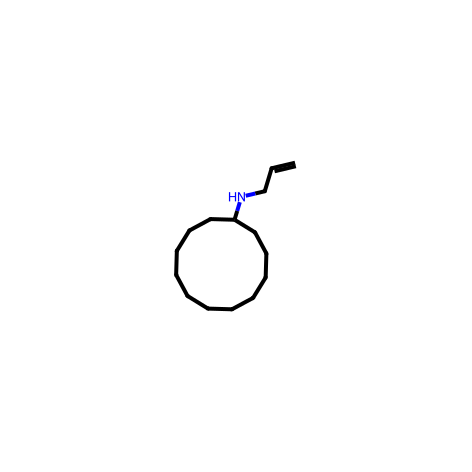 C=CCNC1CCCCCCCCCCC1